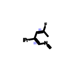 C=N/C=C(\C=C(/C)F)C(C)C